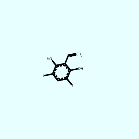 C=Cc1c(O)c(I)cc(I)c1O